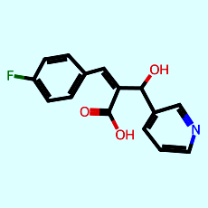 O=C(O)C(=Cc1ccc(F)cc1)C(O)c1cccnc1